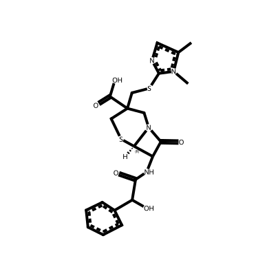 Cc1cnc(SCC2(C(=O)O)CS[C@@H]3C(NC(=O)C(O)c4ccccc4)C(=O)N3C2)n1C